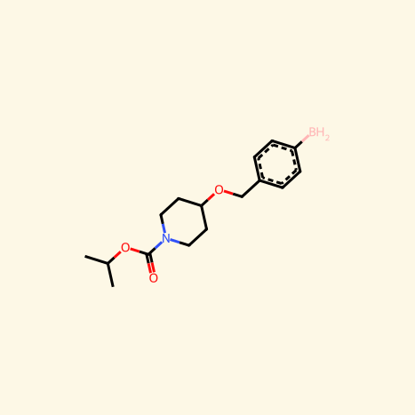 Bc1ccc(COC2CCN(C(=O)OC(C)C)CC2)cc1